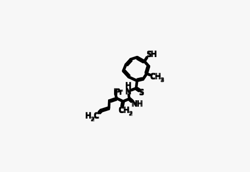 C=C=C/C=C(\C(=C)C(=N)NC(=S)c1cccccc(S)cc(C)c1)C(C)C